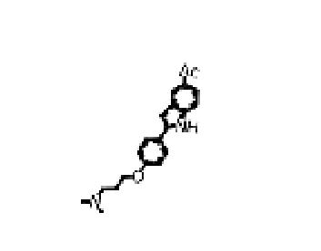 CC(=O)c1ccc2[nH]c(-c3ccc(OCCCN(C)C)cc3)cc2c1